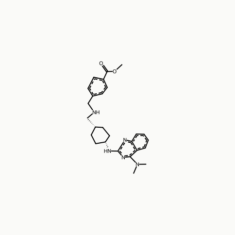 COC(=O)c1ccc(CNC[C@H]2CC[C@@H](Nc3nc(N(C)C)c4ccccc4n3)CC2)cc1